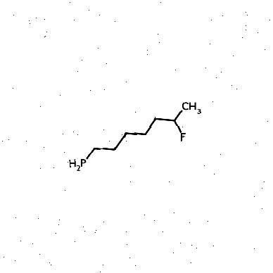 CC(F)CCCCCP